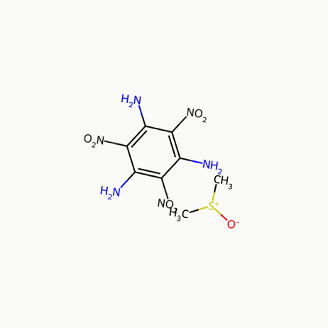 C[S+](C)[O-].Nc1c([N+](=O)[O-])c(N)c([N+](=O)[O-])c(N)c1[N+](=O)[O-]